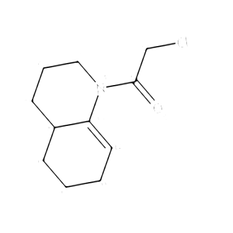 O=C(CCl)N1CCCC2CCCC=C21